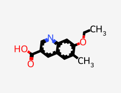 CCOc1cc2ncc(C(=O)O)cc2cc1C